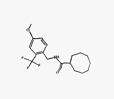 COc1ccc(CNC(=O)C2CCCCCCC2)c(C(F)(F)F)c1